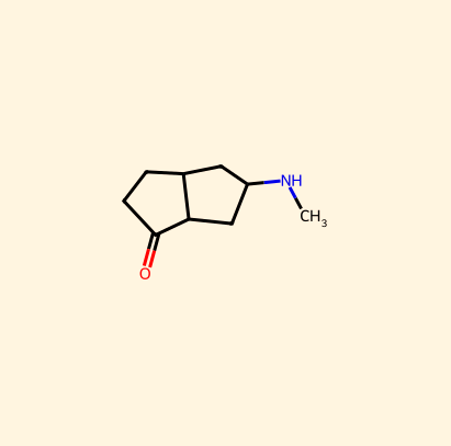 CNC1CC2CCC(=O)C2C1